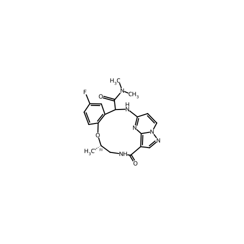 C[C@H]1CNC(=O)c2cnn3ccc(nc23)NC(C(=O)N(C)C)c2cc(F)ccc2O1